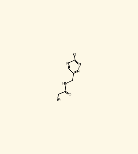 CC(C)CC(=O)NCc1cnc(Cl)nn1